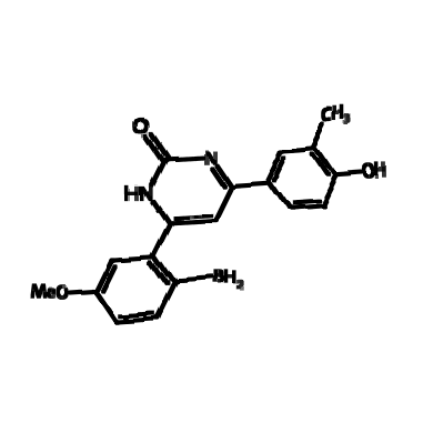 Bc1ccc(OC)cc1-c1cc(-c2ccc(O)c(C)c2)nc(=O)[nH]1